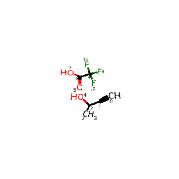 C#CC(C)O.O=C(O)C(F)(F)F